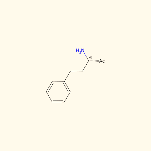 CC(=O)[C@@H](N)CCc1ccccc1